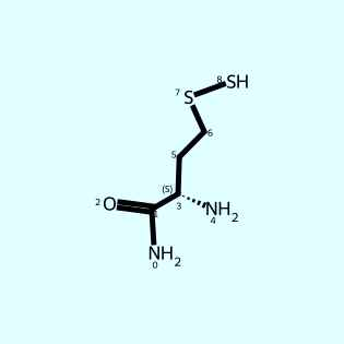 NC(=O)[C@@H](N)CCSS